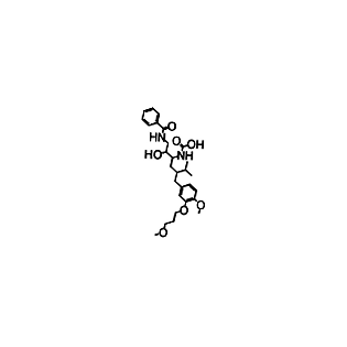 COCCCOc1cc(CC(CC(NC(=O)O)[C@@H](O)CNC(=O)c2ccccc2)C(C)C)ccc1OC